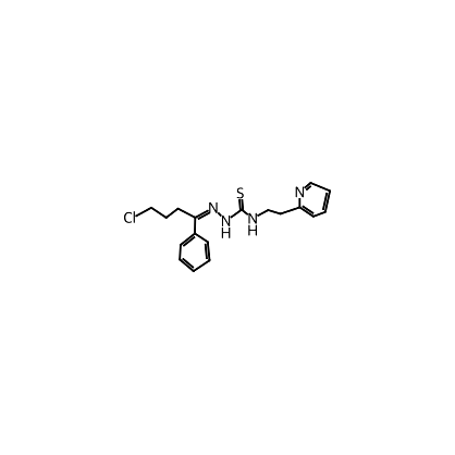 S=C(NCCc1ccccn1)NN=C(CCCCl)c1ccccc1